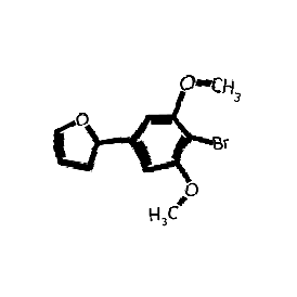 COc1cc(C2CC=CO2)cc(OC)c1Br